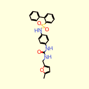 Cc1ccc(CNC(=O)Nc2ccc(NS(=O)(=O)c3ccccc3-c3ccccc3)cc2)o1